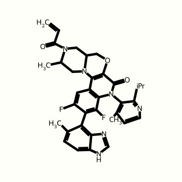 C=CC(=O)N1CC2COc3c(c4cc(F)c(-c5c(C)ccc6[nH]cnc56)c(F)c4n(-c4c(C)ccnc4C(C)C)c3=O)N2CC1C